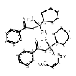 C[N+](C)(CC(=O)c1ccccc1)C1CCCCC1.C[N+](C)(CC(=O)c1ccccc1)C1CCCCC1.O=C([O-])/C=C\C(=O)[O-]